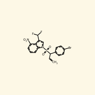 C=CC(c1ccc(Br)cc1)S(=O)(=O)n1cc(C(F)F)c2c([N+](=O)[O-])cccc21